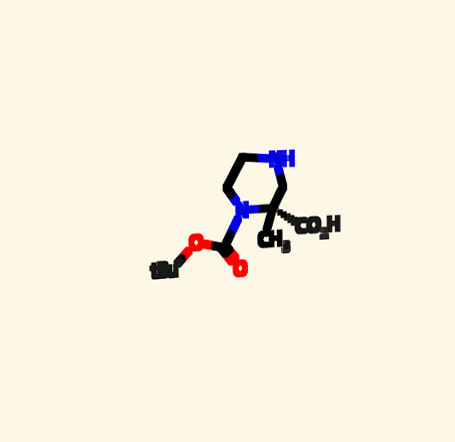 CC(C)(C)OC(=O)N1CCNC[C@]1(C)C(=O)O